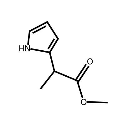 COC(=O)C(C)c1ccc[nH]1